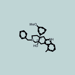 COc1cccc([C@@]23CCN(Cc4ccccc4)C[C@@]2(O)Cc2c([nH]c4cccc(C)c24)C3)c1